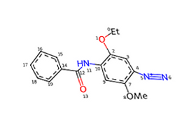 CCOc1cc([N+]#N)c(OC)cc1NC(=O)c1ccccc1